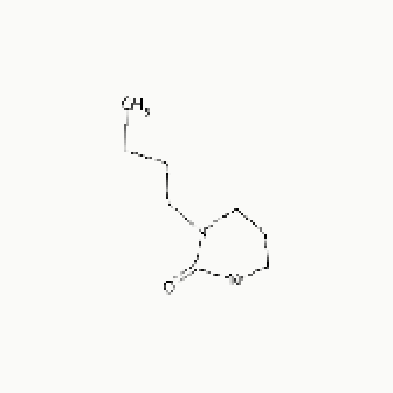 CCCCN1CCC[N]C1=O